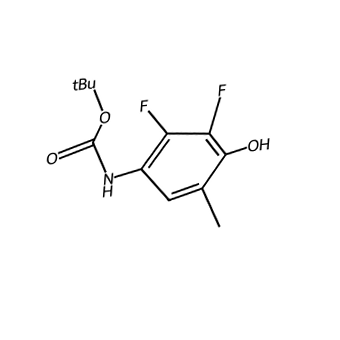 Cc1cc(NC(=O)OC(C)(C)C)c(F)c(F)c1O